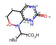 CCCCC(C(=O)O)N1OCCc2cnc(=O)[nH]c21